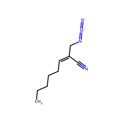 CCCCC/C=C(\C#N)CN=[N+]=[N-]